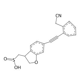 N#CCc1ccccc1C#Cc1ccc2c(c1)OCC2CS(=O)O